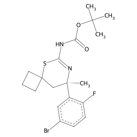 CC(C)(C)OC(=O)NC1=N[C@@](C)(c2cc(Br)ccc2F)CC2(CCC2)S1